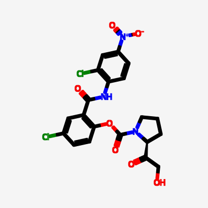 O=C(Nc1ccc([N+](=O)[O-])cc1Cl)c1cc(Cl)ccc1OC(=O)N1CCC[C@H]1C(=O)CO